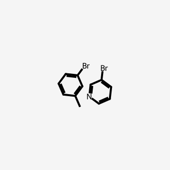 Brc1cccnc1.Cc1cccc(Br)c1